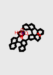 O=P1(O)Oc2c(cc3ccccc3c2-c2c(-c3ccccc3)ccc3ccccc23)-c2cc3ccccc3c(-c3c(-c4ccccc4)ccc4ccccc34)c2O1